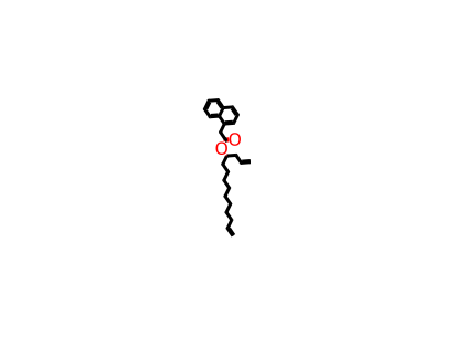 C=CCCCCCCCCC(CC=C)OC(=O)Cc1cccc2ccccc12